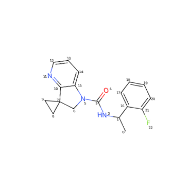 CC(NC(=O)N1CC2(CC2)c2ncccc21)c1ccccc1F